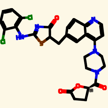 O=C1CC[C@@H](C(=O)N2CCN(c3ccnc4ccc(CC5SC(Nc6c(Cl)cccc6Cl)=NC5=O)cc34)CC2)O1